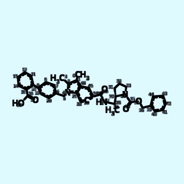 Cc1c(C)n(Cc2ccc(-c3ccccc3C(=O)O)cc2)c2ccc(C(=O)N[C@@H](C)[C@H]3CCCN3C(=O)OCc3ccccc3)cc12